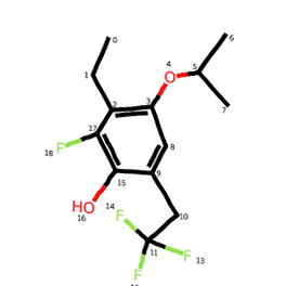 CCc1c(OC(C)C)cc(CC(F)(F)F)c(O)c1F